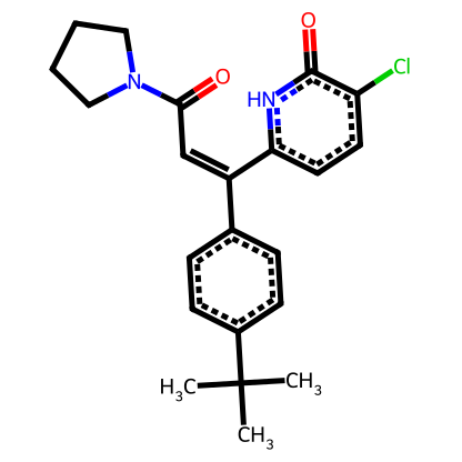 CC(C)(C)c1ccc(/C(=C/C(=O)N2CCCC2)c2ccc(Cl)c(=O)[nH]2)cc1